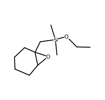 CCO[Si](C)(C)CC12CCCCC1O2